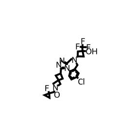 O=C(N1CC2(CC(c3nnc4n3-c3ccc(Cl)cc3CN(C3CC(O)(C(F)(F)F)C3)C4)C2)C1)C1(F)CC1